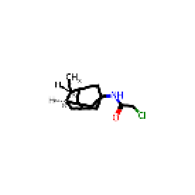 C[C@@H]1C2CC3C[C@@H]1CC(NC(=O)CCl)(C3)C2